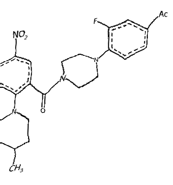 CC(=O)c1ccc(N2CCN(C(=O)c3cc([N+](=O)[O-])ccc3N3CCC(C)CC3)CC2)c(F)c1